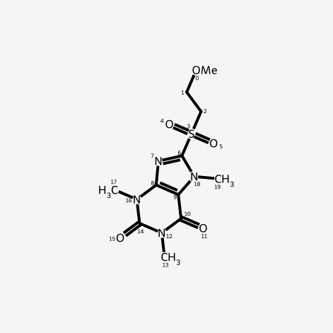 COCCS(=O)(=O)c1nc2c(c(=O)n(C)c(=O)n2C)n1C